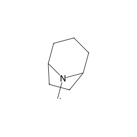 [CH2]N1C2CCCC1CC2